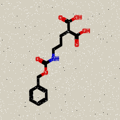 O=C(NCCCC(C(=O)O)C(=O)O)OCc1ccccc1